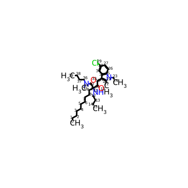 CCCCCCCCCCC(NCCCC)(C(=O)Cc1c(C)n(CC)c2ccc(Cl)cc12)C(=O)N(C)CCCC